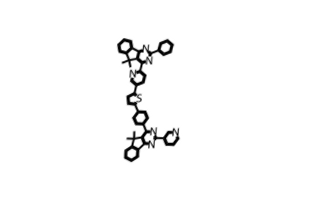 CC1(C)c2ccccc2-c2nc(-c3cccnc3)nc(-c3ccc(-c4ccc(-c5ccc(-c6nc(-c7ccccc7)nc7c6C(C)(C)c6ccccc6-7)nc5)s4)cc3)c21